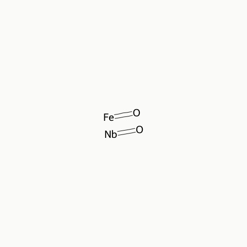 [O]=[Fe].[O]=[Nb]